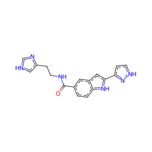 O=C(NCCc1c[nH]cn1)c1ccc2[nH]c(-c3cc[nH]n3)cc2c1